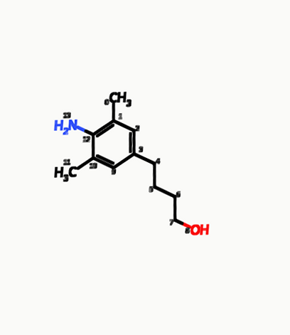 Cc1cc(CCCCO)cc(C)c1N